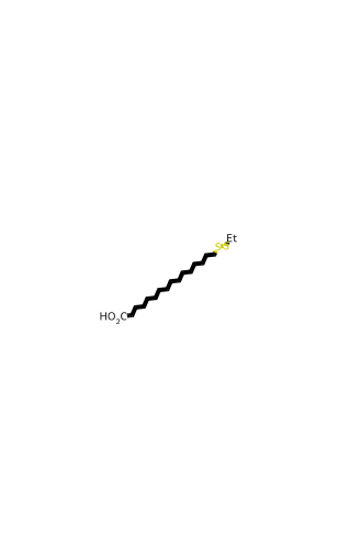 CCSSCCCCCCCCCCCCCCCC(=O)O